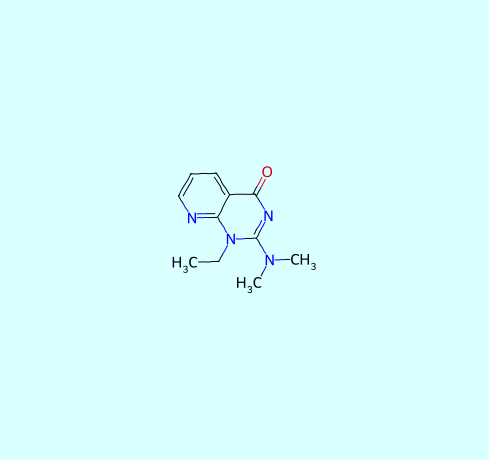 CCn1c(N(C)C)nc(=O)c2cccnc21